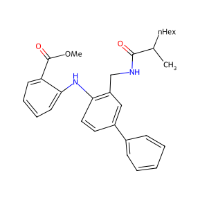 CCCCCCC(C)C(=O)NCc1cc(-c2ccccc2)ccc1Nc1ccccc1C(=O)OC